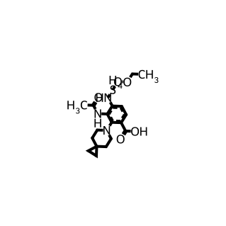 CCOO[SH4]Nc1ccc(C(=O)O)c(N2CCC3(CC2)CC3)c1NC(C)=O